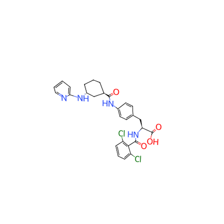 O=C(N[C@@H](Cc1ccc(NC(=O)[C@@H]2CCC[C@@H](Nc3ccccn3)C2)cc1)C(=O)O)c1c(Cl)cccc1Cl